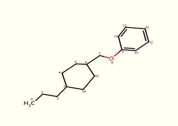 CCCC1CCC(COc2ccccc2)CC1